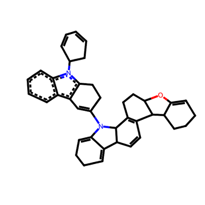 C1=CCC(n2c3c(c4ccccc42)C=C(N2C4=CCCC=C4C4C=CC5=C(CCC6OC7=CCCCC7C56)C42)CC3)C=C1